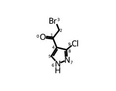 O=C(CBr)c1c[nH]nc1Cl